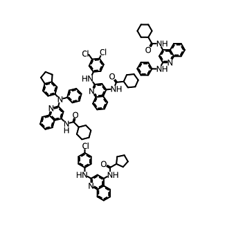 O=C(Nc1cc(N(c2ccccc2)c2ccc3c(c2)CCC3)nc2ccccc12)C1CCCCC1.O=C(Nc1cc(Nc2ccc(Cl)c(Cl)c2)nc2ccccc12)C1CCCCC1.O=C(Nc1cc(Nc2ccc(Cl)cc2)nc2ccccc12)C1CCCC1.O=C(Nc1cc(Nc2ccccc2)nc2ccccc12)C1CCCCC1